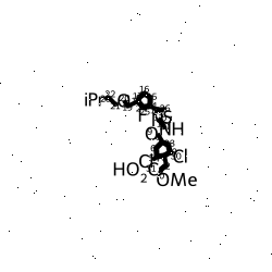 COC(=Cc1c(Cl)cc(C(=O)Nc2nc(-c3cccc(COCCC(C)C)c3F)cs2)cc1Cl)C(=O)O